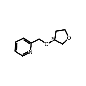 c1ccc(CO[C@H]2CCOC2)nc1